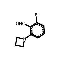 O=Cc1c(Br)cccc1N1CCC1